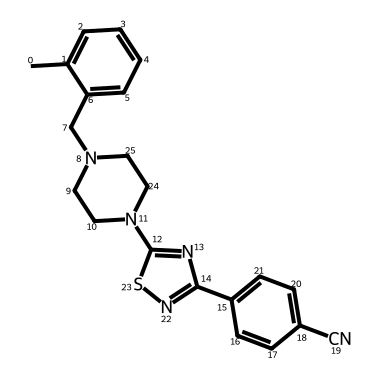 Cc1ccccc1CN1CCN(c2nc(-c3ccc(C#N)cc3)ns2)CC1